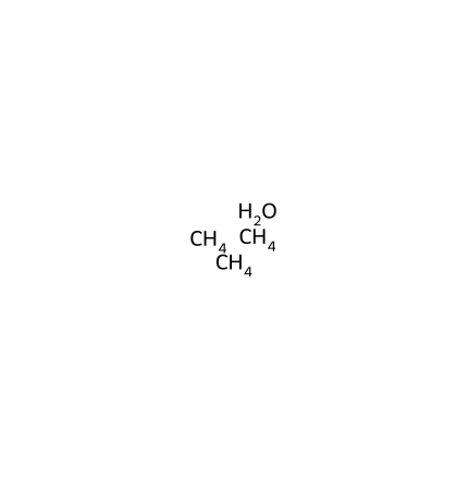 C.C.C.O